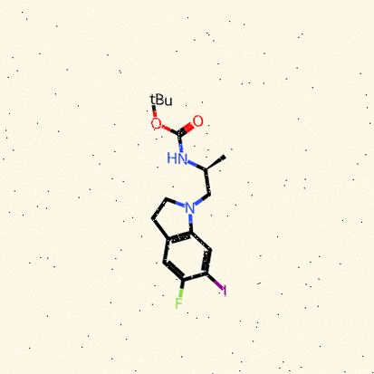 C[C@@H](CN1CCc2cc(F)c(I)cc21)NC(=O)OC(C)(C)C